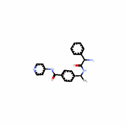 CC(NC(=O)C(N)c1ccccc1)c1ccc(C(=O)Nc2ccncc2)cc1